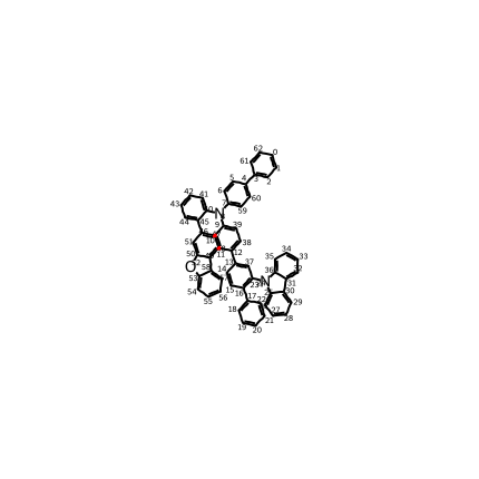 c1ccc(-c2ccc(N(c3ccc(-c4ccc(-c5ccccc5)c(-n5c6ccccc6c6ccccc65)c4)cc3)c3ccccc3-c3ccc4c(c3)oc3ccccc34)cc2)cc1